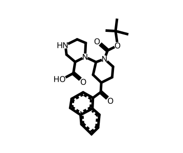 CC(C)(C)OC(=O)N1CCC(C(=O)c2cccc3ccccc23)CC1N1CCNCC1C(=O)O